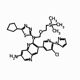 C[Si](C)(C)CCOCN(c1nnc(C2CCCC2)s1)c1nc2cc(N)cnc2cc1-c1cnc(-n2cccn2)c(Cl)c1